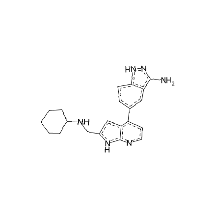 Nc1n[nH]c2ccc(-c3ccnc4[nH]c(CNC5CCCCC5)cc34)cc12